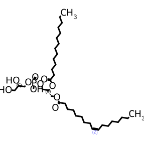 CCCCCCC/C=C\CCCCCCCC(=O)OC[C@H](COP(=O)(O)OC[C@@H](O)CO)OC(=O)CCCCCCCCCCCCC